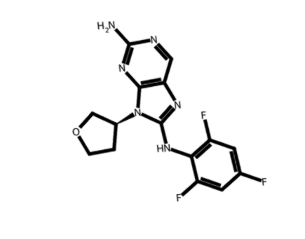 Nc1ncc2nc(Nc3c(F)cc(F)cc3F)n([C@H]3CCOC3)c2n1